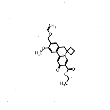 C=COCc1cc2c(cc1OC)-c1cc(=O)c(C(=O)OCC)cn1C1(CCC1)C2